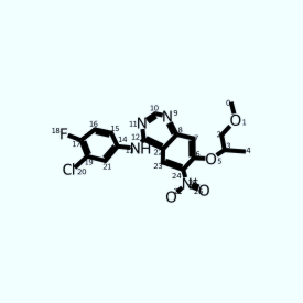 COCC(C)Oc1cc2ncnc(Nc3ccc(F)c(Cl)c3)c2cc1[N+](=O)[O-]